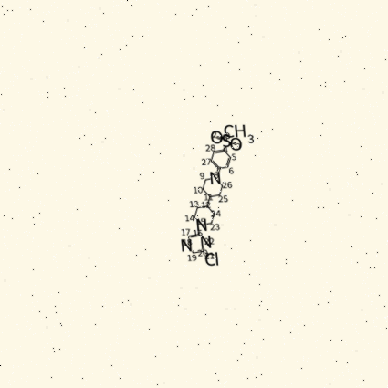 CS(=O)(=O)c1ccc(N2CCC(C3CCN(c4cncc(Cl)n4)CC3)CC2)cc1